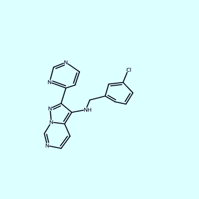 Clc1cccc(CNc2c(-c3ccncn3)nn3cnccc23)c1